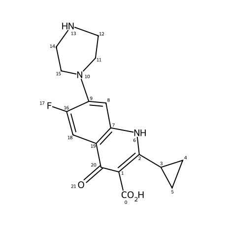 O=C(O)c1c(C2CC2)[nH]c2cc(N3CCNCC3)c(F)cc2c1=O